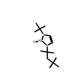 CC(C)(C)CC(C)(C)N1C=CN(C(C)(C)C)[SiH]1Cl